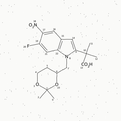 CC1(C)OCCC(Cn2c(C(C)(C)C(=O)O)cc3cc([N+](=O)[O-])c(F)cc32)O1